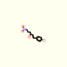 O=C(C=Cc1ccc(Cl)cc1)CCC[N+](=O)[O-]